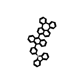 c1cc(-c2c3ccccc3c(-c3ccc4c5c(cccc35)-c3ccccc3-c3ccccc3-4)c3ccccc23)cc(-n2c3ccccc3c3ccccc32)c1